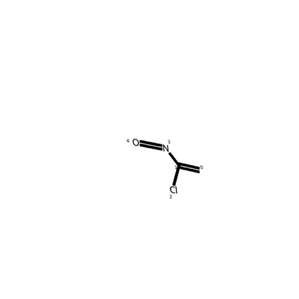 C=C(Cl)N=O